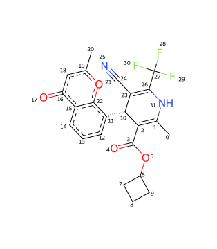 CC1=C(C(=O)OC2CCC2)[C@H](c2cccc3c(=O)cc(C)oc23)C(C#N)=C(C(F)(F)F)N1